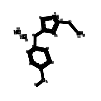 COc1ccc(Cc2c[nH]c(CN)n2)cc1.Cl.Cl